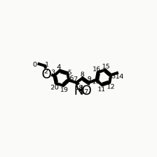 CCOc1ccc(-c2cc(-c3ccc(C)cc3)on2)cc1